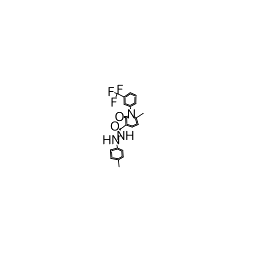 Cc1ccc(NNC(=O)c2ccc(C)n(-c3cccc(C(F)(F)F)c3)c2=O)cc1